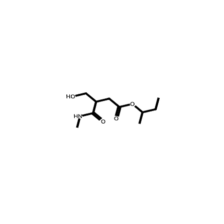 CCC(C)OC(=O)CC(CO)C(=O)NC